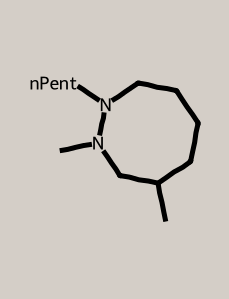 CCCCCN1CCCCC(C)CN1C